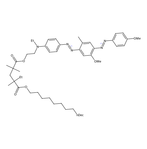 CCCCCCCCCCCCCCCCCCOC(=O)C(C)(CC)CC(C)(C)C(=O)OCCN(CC)c1ccc(/N=N/c2cc(OC)c(/N=N/c3ccc(OC)cc3)cc2C)cc1